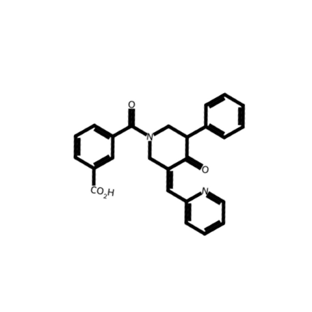 O=C(O)c1cccc(C(=O)N2C/C(=C/c3ccccn3)C(=O)C(c3ccccc3)C2)c1